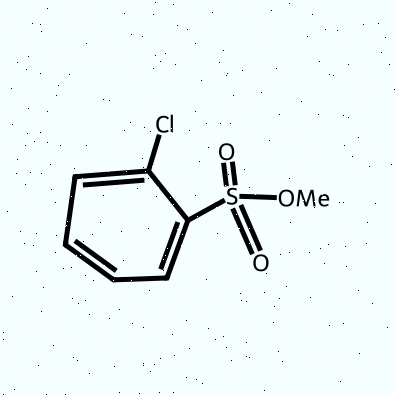 [CH2]OS(=O)(=O)c1ccccc1Cl